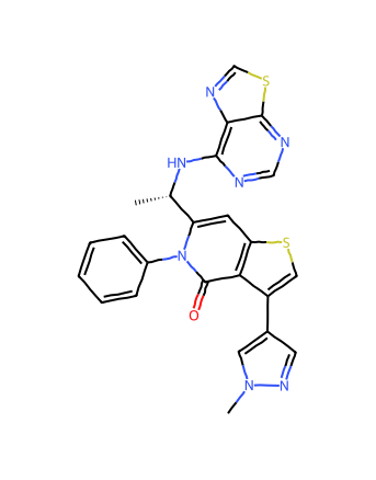 C[C@H](Nc1ncnc2scnc12)c1cc2scc(-c3cnn(C)c3)c2c(=O)n1-c1ccccc1